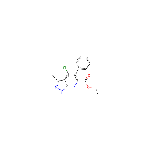 CCOC(=O)c1nc2[nH]nc(C)c2c(Cl)c1-c1ccccc1